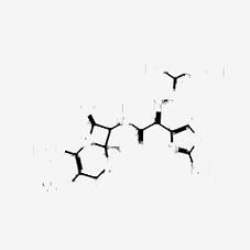 CSC1=C(C(=O)O)N2C(=O)C(NC(=O)C(=NOC(C)C(=O)O)c3csc(N)n3)[C@@H]2SC1